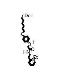 CCCCCCCCCCCCCCCCOc1ccc(OCC(=O)NCCc2cccc[n+]2CC)cc1.[I-]